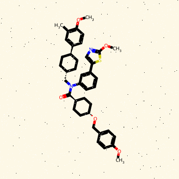 COc1ccc(CO[C@H]2CC[C@H](C(=O)N(C[C@H]3CC[C@H](c4ccc(OC)c(C)c4)CC3)c3cccc(-c4cnc(OC)s4)c3)CC2)cc1